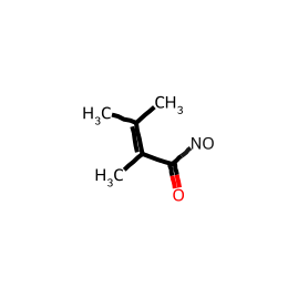 CC(C)=C(C)C(=O)N=O